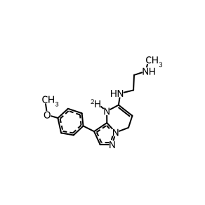 [2H]N1C(NCCNC)=CCn2ncc(-c3ccc(OC)cc3)c21